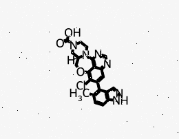 Cc1ccc2[nH]ncc2c1-c1cc2ncnc3c2c(c1Cl)OC[C@H]1CN(C(=O)O)CCN31